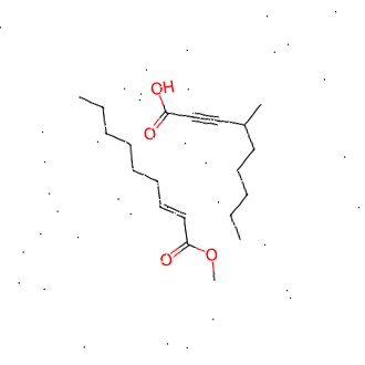 CCCCCC(C)C#CC(=O)O.CCCCCCC=CC(=O)OC